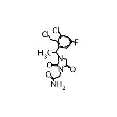 CC(c1cc(F)cc(Cl)c1CCl)N1CC(=O)N(CC(N)=O)C1=O